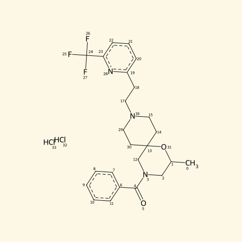 CC1CN(C(=O)c2ccccc2)CC2(CCN(CCc3cccc(C(F)(F)F)n3)CC2)O1.Cl.Cl